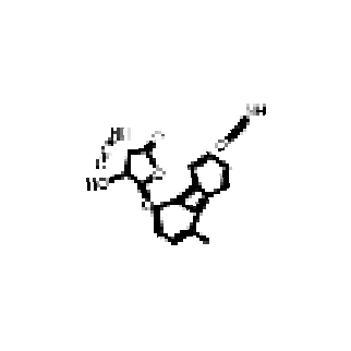 Cc1cccc2c1=c1ccccc1=2.N=C=O.N=C=O.O=C1CC(O)C(=O)O1